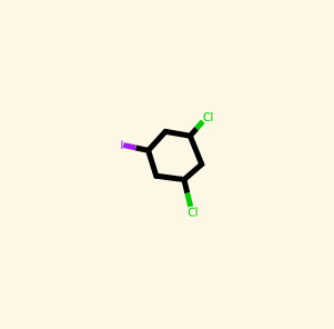 ClC1CC(Cl)CC(I)C1